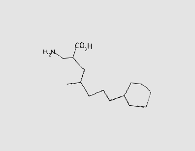 CC(CCCC1CCCCC1)CC(CN)C(=O)O